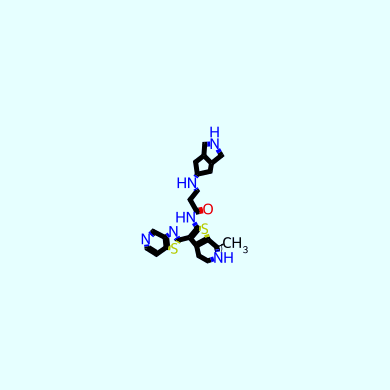 C[C@@H]1NCCc2c1sc(NC(=O)CCNC1CC3CNCC3C1)c2-c1nc2cnccc2s1